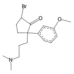 COc1cccc(C2(CCCN(C)C)CCC(Br)C2=O)c1